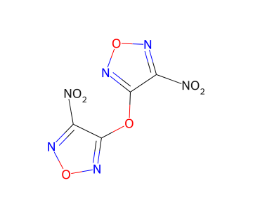 O=[N+]([O-])c1nonc1Oc1nonc1[N+](=O)[O-]